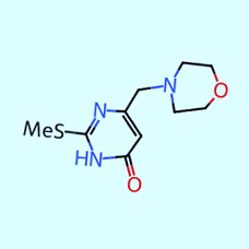 CSc1nc(CN2CCOCC2)cc(=O)[nH]1